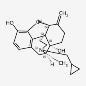 C=C1CC[C@@]2(O)[C@H]3Cc4ccc(O)c5c4[C@@]2(CC[N@@+]3(C)CC2CC2)[C@H]1O5